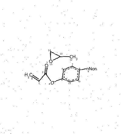 C=CC(=O)Oc1ccc(CCCCCCCCC)cc1.CC1CO1